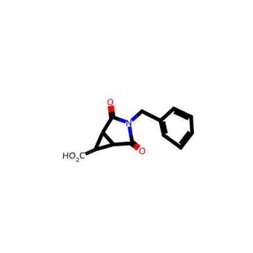 O=C(O)C1C2C(=O)N(Cc3ccccc3)C(=O)C12